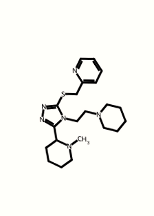 CN1CCCCC1c1nnc(SCc2ccccn2)n1CCN1CCCCC1